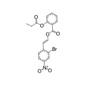 CCC(=O)Oc1ccccc1C(=O)OC=Cc1ccc([N+](=O)[O-])cc1Br